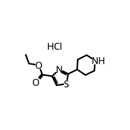 CCOC(=O)c1csc(C2CCNCC2)n1.Cl